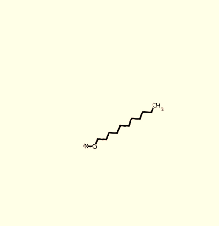 CCCCCCCCCCCO[N]